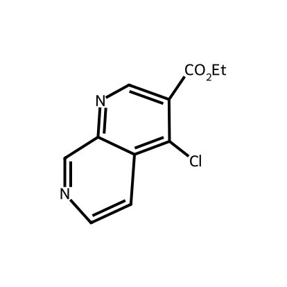 CCOC(=O)c1cnc2cnccc2c1Cl